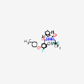 COc1cc(F)c(O[C@H]2CC[C@H](C)CC2)cc1C(=O)N[C@@H]1[C@H]2CC[C@H](C2)[C@@H]1C(=O)NCC(F)(F)C(F)(F)F